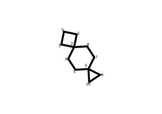 C1CC2(C1)CCC1(CC2)CC1